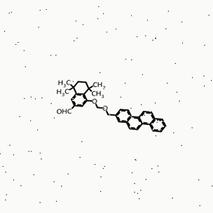 CC1(C)CCC(C)(C)c2c(OCOCc3ccc4c(ccc5c6ccccc6ccc45)c3)cc(C=O)cc21